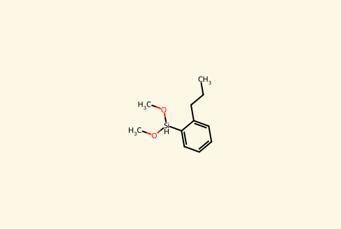 CCCc1ccccc1[SiH](OC)OC